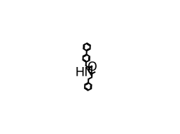 CC(CCc1ccccc1)NC(=O)Cc1ccc(-c2ccccc2)cc1